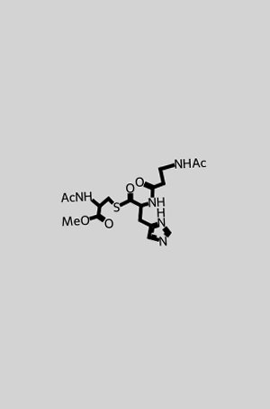 COC(=O)C(CSC(=O)C(Cc1cnc[nH]1)NC(=O)CCNC(C)=O)NC(C)=O